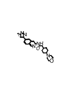 Cn1cc(-c2ccc3cnc(NC(=O)CC4CCC(N5CCOCC5)CC4)cc3c2)nn1